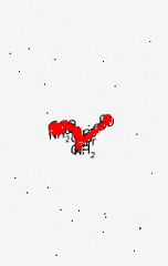 CCCCc1nc2c(N)nc3ccsc3c2n1Cc1ccc(CNC(=O)OCc2ccc(NC(=O)[C@H](CCCNC(N)=O)NC(=O)[C@@H](CCC(=O)CCOCCOCCOCCN3C(=O)C=CC3=O)C(C)C)cc2)cc1